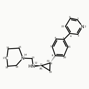 c1cncc(-c2ccc([C@@H]3C[C@H]3NCN3CCCCC3)cc2)c1